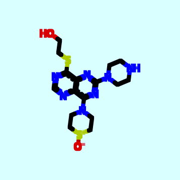 [O-][S+]1CCN(c2nc(N3CCNCC3)nc3c(SCCO)ncnc23)CC1